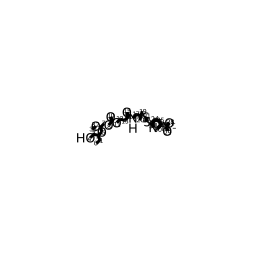 CCC(CO)OC(COC(=O)OCCC(=O)NCC(C)(C)SSc1ccc([N+](=O)[O-])cn1)OC